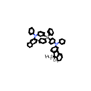 CC1(C)c2ccccc2-c2cc(N(c3ccccc3)c3ccc([Si](c4ccccc4)(c4ccccc4)c4cccc(N(c5ccccc5)c5ccc6ccccc6c5)c4)cc3)ccc21